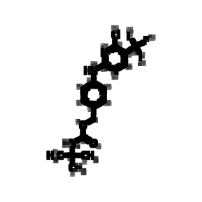 CC(C)(C)NC(=O)OCc1ccc(Nc2ncc(C(F)(F)F)c(Cl)n2)cc1